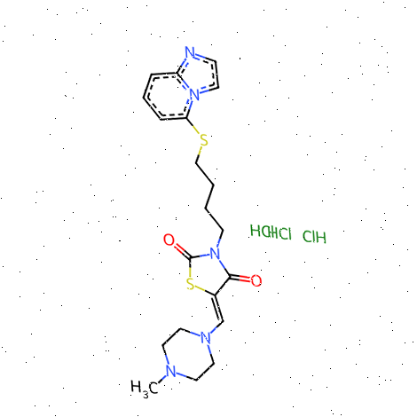 CN1CCN(/C=C2\SC(=O)N(CCCCSc3cccc4nccn34)C2=O)CC1.Cl.Cl.Cl